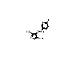 NC1=NN=C(N)C1=NNc1ccc(F)nc1